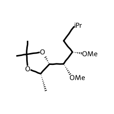 CO[C@H]([C@H]1OC(C)(C)O[C@H]1C)[C@H](CC(C)C)OC